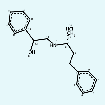 C[C@H](CCc1ccccc1)NCC(O)c1ccccc1.Cl